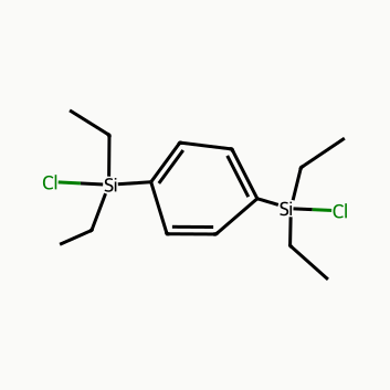 CC[Si](Cl)(CC)c1ccc([Si](Cl)(CC)CC)cc1